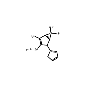 CCC[Si]1(CCC)C2=C1C(C1=CC=CC1)[C]([Zr+2])=C2C.[Cl-].[Cl-]